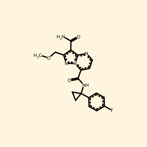 COCc1nn2c(C(=O)NC3(c4ccc(F)cc4)CC3)ccnc2c1C(N)=O